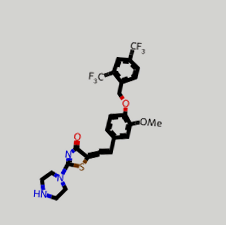 COc1cc(C=C=C2SC(N3CCNCC3)=NC2=O)ccc1OCc1ccc(C(F)(F)F)cc1C(F)(F)F